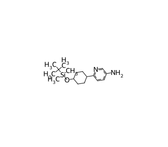 CC(C)(C)[Si](C)(C)OC1CCC(c2ccc(N)cn2)CC1